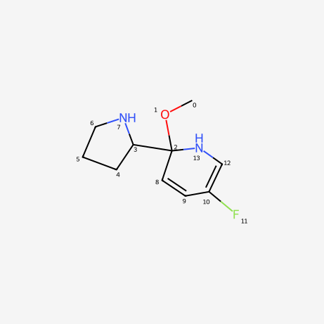 COC1(C2CCCN2)C=CC(F)=CN1